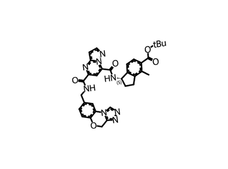 Cc1c(C(=O)OC(C)(C)C)ccc2c1CC[C@@H]2NC(=O)c1cc(C(=O)NCc2ccc3c(c2)-n2cnnc2CO3)nc2ccnn12